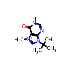 C[n+]1cn(C(C)(C)C)c2nc[nH]c(=O)c21